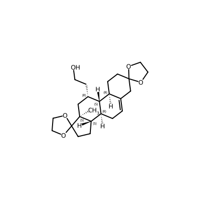 C[C@]12C[C@H](CCO)[C@H]3[C@@H](CC=C4CC5(CC[C@@H]43)OCCO5)[C@@H]1CCC21OCCO1